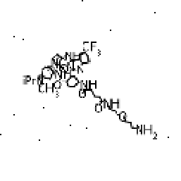 CC(C)N(C)[C@@H]1CC[C@H](N2CC[C@H](Nc3ncnc4ccc(C(F)(F)F)cc34)C2=O)[C@H](NC(=O)[C@H]2CC[C@@H](NC(=O)CCCC(=O)NCCCOCCCN)CC2)C1